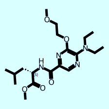 CCN(CC)c1ncc(C(=O)N[C@@H](CC(C)C)C(=O)OC)nc1OCCOC